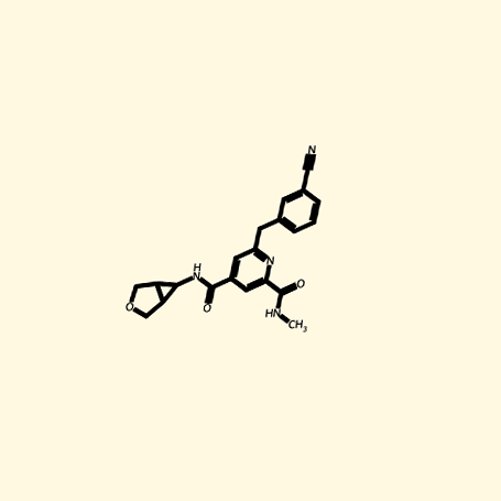 CNC(=O)c1cc(C(=O)NC2C3COCC32)cc(Cc2cccc(C#N)c2)n1